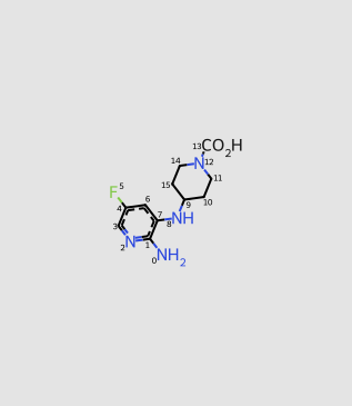 Nc1ncc(F)cc1NC1CCN(C(=O)O)CC1